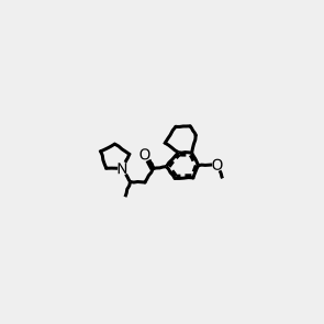 COc1ccc(C(=O)CC(C)N2CCCC2)c2c1CCCC2